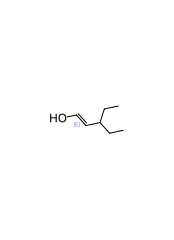 CCC(/C=C/O)CC